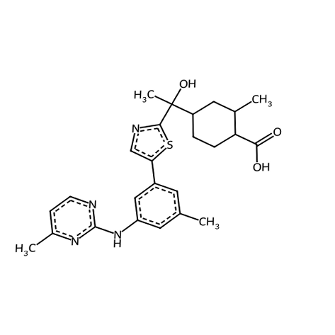 Cc1cc(Nc2nccc(C)n2)cc(-c2cnc(C(C)(O)C3CCC(C(=O)O)C(C)C3)s2)c1